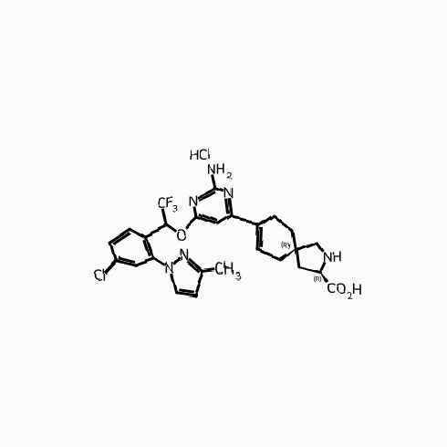 Cc1ccn(-c2cc(Cl)ccc2C(Oc2cc(C3=CC[C@@]4(CC3)CN[C@@H](C(=O)O)C4)nc(N)n2)C(F)(F)F)n1.Cl